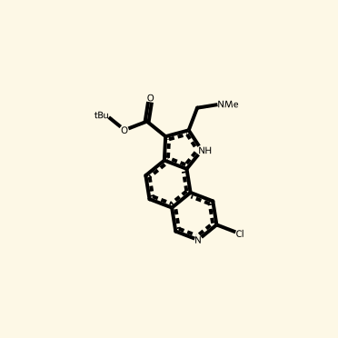 CNCc1[nH]c2c(ccc3cnc(Cl)cc32)c1C(=O)OC(C)(C)C